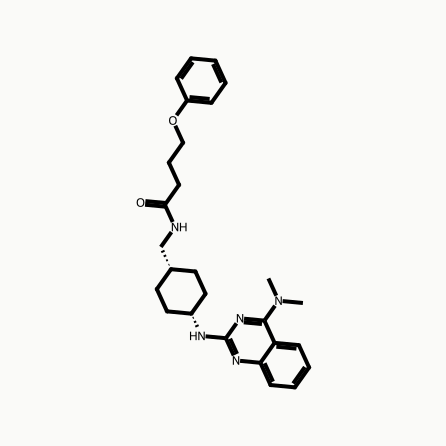 CN(C)c1nc(N[C@H]2CC[C@@H](CNC(=O)CCCOc3ccccc3)CC2)nc2ccccc12